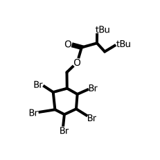 CC(C)(C)CC(C(=O)OCC1C(Br)C(Br)C(Br)C(Br)C1Br)C(C)(C)C